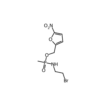 CP(=O)(NCCBr)OCc1ccc([N+](=O)[O-])o1